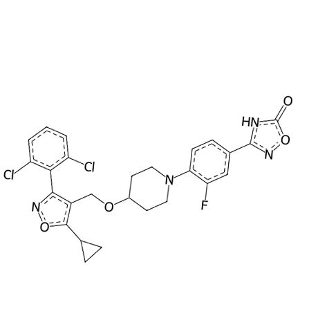 O=c1[nH]c(-c2ccc(N3CCC(OCc4c(-c5c(Cl)cccc5Cl)noc4C4CC4)CC3)c(F)c2)no1